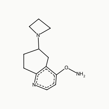 NOc1ccnc2c1CC(N1CCC1)CC2